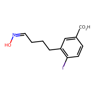 O=C(O)c1ccc(I)c(CCC/C=N\O)c1